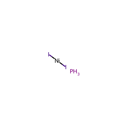 P.[I][Ni][I]